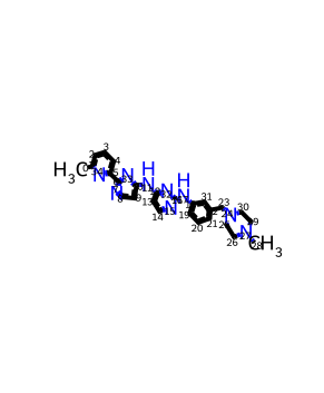 Cc1cccc(-c2nccc(Nc3ccnc(Nc4cccc(CN5CCN(C)CC5)c4)n3)n2)n1